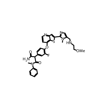 COCCNCc1cnc(-c2cc3nccc(Oc4ccc(C(C(N)=O)C(=O)N(C)c5ccccc5)cc4F)c3s2)n1C